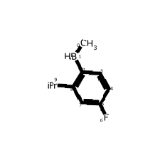 CBc1ccc(F)cc1C(C)C